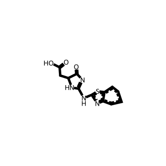 O=C(O)CC1NC(Nc2nc3ccccc3s2)=NC1=O